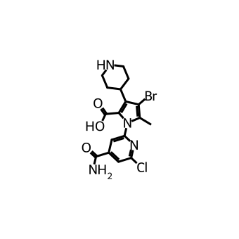 Cc1c(Br)c(C2CCNCC2)c(C(=O)O)n1-c1cc(C(N)=O)cc(Cl)n1